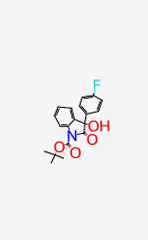 CC(C)(C)OC(=O)N1C(=O)[C@@](O)(c2ccc(F)cc2)c2ccccc21